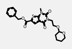 Cn1c(=O)n(CCOC2CCCCO2)c(=O)c2cc(C(=O)OCc3ccccc3)sc21